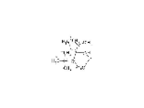 CCC1(C(C)C)NCOCC1C(C)(C)C